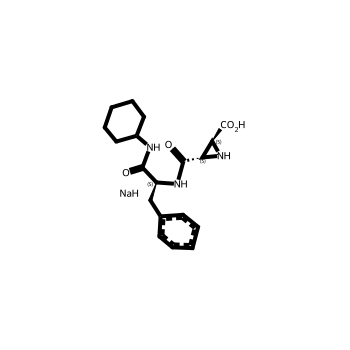 O=C(NC1CCCCC1)[C@H](Cc1ccccc1)NC(=O)[C@H]1N[C@@H]1C(=O)O.[NaH]